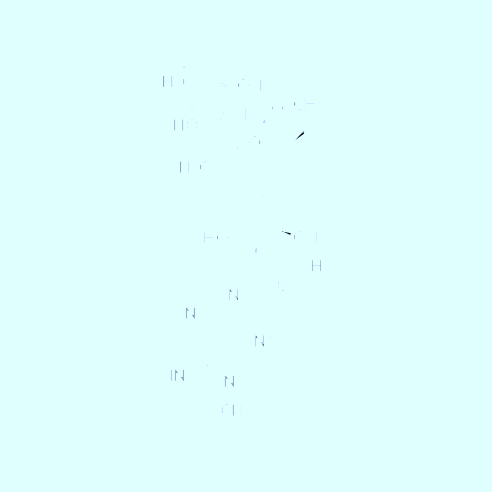 CC[C@@H](CC[C@@H](O)[C@@H](O)C(OC)n1cnc2c(=N)n(C)cnc21)OP(=O)(O)C(O)(CC)CC